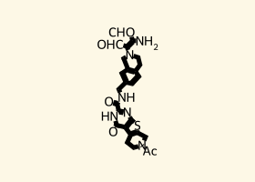 CC(=O)N1CCc2c(sc3nc(C(=O)NCc4ccc5c(c4)CN(/C(C=O)=C(\N)C=O)CC5)[nH]c(=O)c23)C1